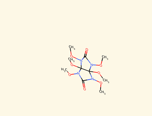 CON1C(=O)N(OC)C2(OC)N(OC)C(=O)N(OC)C12OC